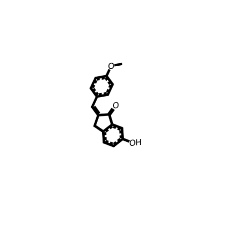 COc1ccc(C=C2Cc3ccc(O)cc3C2=O)cc1